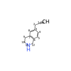 C#CCc1ccc2c(c1)CCNC2